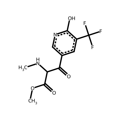 CNC(C(=O)OC)C(=O)c1cnc(O)c(C(F)(F)F)c1